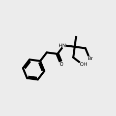 CC(CO)(CBr)NC(=O)Cc1ccccc1